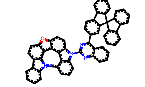 c1ccc2c(c1)-c1ccccc1C21c2ccccc2-c2ccc(-c3nc(-n4c5ccc6oc7ccc8c9ccccc9n9c%10cccc4c%10c5c6c7c89)nc4ccccc34)cc21